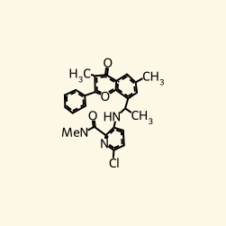 CNC(=O)c1nc(Cl)ccc1NC(C)c1cc(C)cc2c(=O)c(C)c(-c3ccccc3)oc12